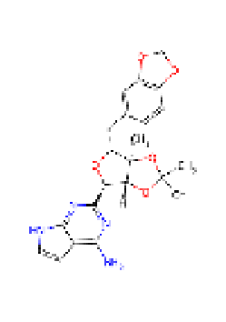 CC1(C)O[C@@H]2[C@@H](c3nc(N)c4cc[nH]c4n3)O[C@H](Cc3ccc4c(c3)OCO4)[C@@]2(C)O1